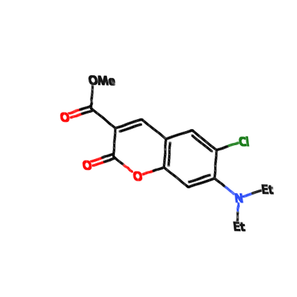 CCN(CC)c1cc2oc(=O)c(C(=O)OC)cc2cc1Cl